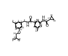 Cc1cc(CNC(=O)c2cc(C)nc(NC(=O)C3CC3)n2)cc(OCC(F)F)c1